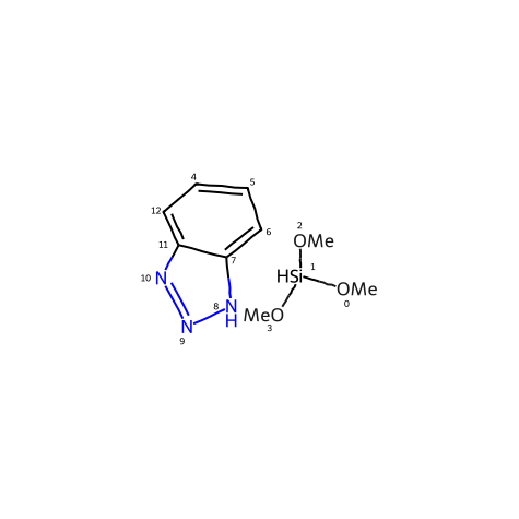 CO[SiH](OC)OC.c1ccc2[nH]nnc2c1